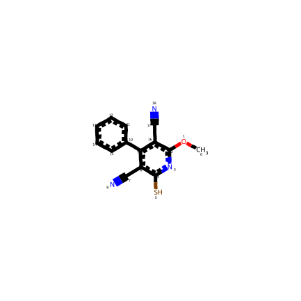 COc1nc(S)c(C#N)c(-c2ccccc2)c1C#N